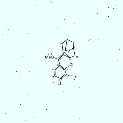 COC(=C1C2CC3CC(C2)CC1C3)c1ccc(I)c(O)c1Cl